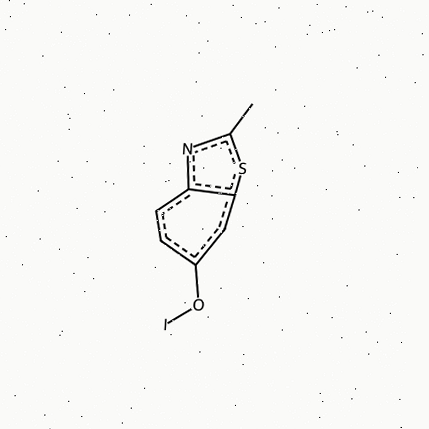 Cc1nc2ccc(OI)cc2s1